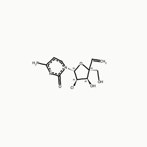 C=C[C@]1(CO)O[C@@H](n2ccc(N)nc2=O)[C@H](Cl)[C@@H]1O